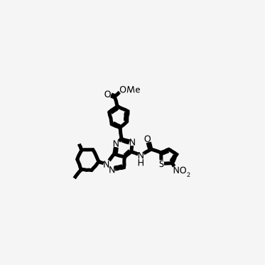 COC(=O)c1ccc(-c2nc(NC(=O)c3ccc([N+](=O)[O-])s3)c3cnn(C4CC(C)CC(C)C4)c3n2)cc1